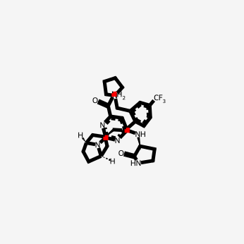 NC(=O)c1cc(N[C@H]2CCNC2=O)nc(N2[C@@H]3CC[C@H]2C[C@@H](COc2ccc(C(F)(F)F)cc2CN2CCCC2)C3)n1